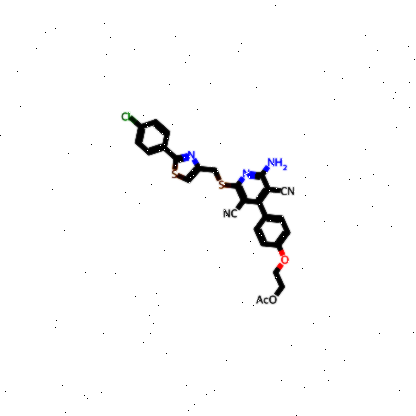 CC(=O)OCCOc1ccc(-c2c(C#N)c(N)nc(SCc3csc(-c4ccc(Cl)cc4)n3)c2C#N)cc1